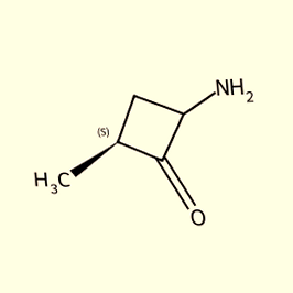 C[C@H]1CC(N)C1=O